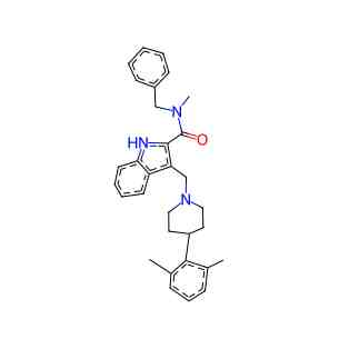 Cc1cccc(C)c1C1CCN(Cc2c(C(=O)N(C)Cc3ccccc3)[nH]c3ccccc23)CC1